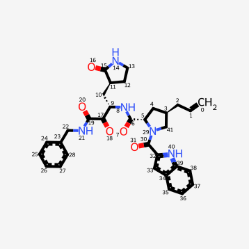 C=CC[C@@H]1C[C@@H](C(=O)N[C@@H](C[C@@H]2CCNC2=O)C(=O)C(=O)NCc2ccccc2)N(C(=O)c2cc3ccccc3[nH]2)C1